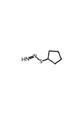 N=NS[C]1CCCC1